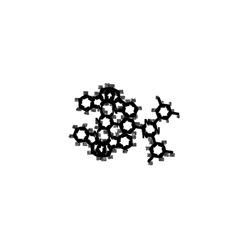 Cc1cc(C)cc(-c2nc(-c3ccc(-c4c(-n5c6ccccc6c6ccccc65)c(-n5c6ccccc6c6ccccc65)nc(-n5c6ccccc6c6ccccc65)c4-n4c5ccccc5c5ccccc54)cc3)nc(-c3cc(C)cc(C)c3)n2)c1